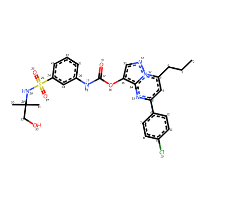 CCCc1cc(-c2ccc(Cl)cc2)nc2c(OC(=O)Nc3cccc(S(=O)(=O)NC(C)(C)CO)c3)cnn12